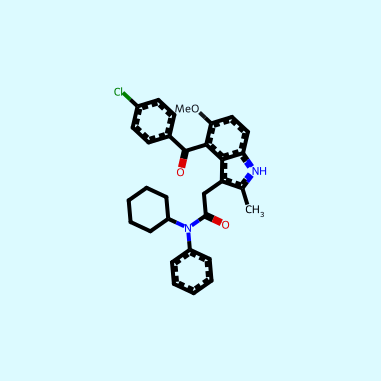 COc1ccc2[nH]c(C)c(CC(=O)N(c3ccccc3)C3CCCCC3)c2c1C(=O)c1ccc(Cl)cc1